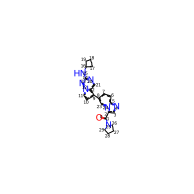 O=C(c1cnc2ccc(-c3ccn4nc(NC5CCC5)ncc34)cn12)N1CCCC1